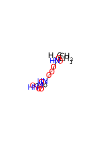 CC(C)(C)OC(=O)NCCCOCCOCCOCCCNc1cccc2c1C(=O)N(C1CCC(=O)NC1=O)C2=O